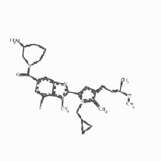 C=c1/c(=C\C=C(/C)OC)cc(-c2nc3cc(C(=O)N4CCCC(N)C4)cc(F)c3n2C)n1CC1CC1